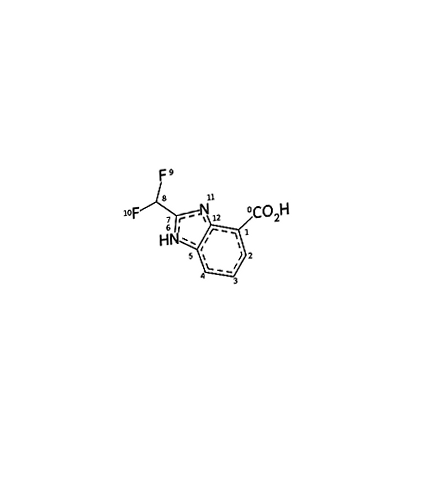 O=C(O)c1cccc2[nH]c(C(F)F)nc12